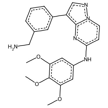 COc1cc(Nc2ccn3ncc(-c4cccc(CN)c4)c3n2)cc(OC)c1OC